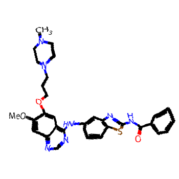 COc1cc2ncnc(Nc3ccc4sc(NC(=O)c5ccccc5)nc4c3)c2cc1OCCCN1CCN(C)CC1